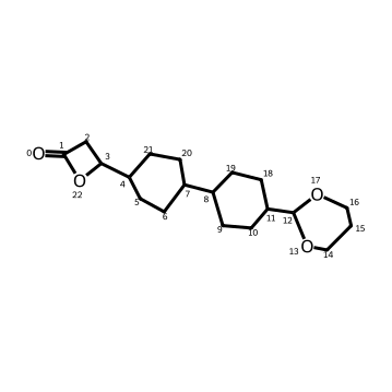 O=C1CC(C2CCC(C3CCC(C4OCCCO4)CC3)CC2)O1